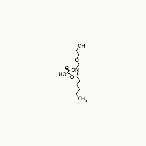 CCCCCCCCCOCCO.O=S(=O)(O)O